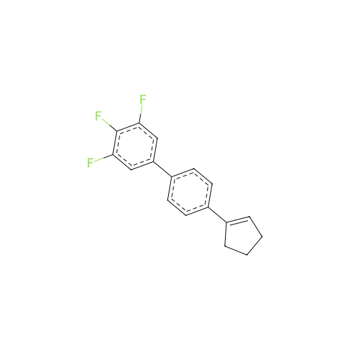 Fc1cc(-c2ccc(C3=CCCC3)cc2)cc(F)c1F